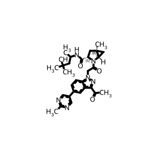 CC(=O)c1nn(CC(=O)N2[C@H](C(=O)NC(C)CC(C)(C)C)C[C@@]3(C)C[C@@H]23)c2ccc(-c3cnc(C)nc3)cc12